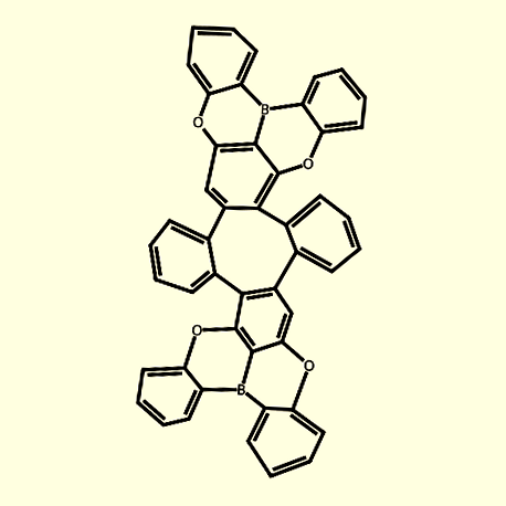 c1ccc2c(c1)Oc1cc3c(c4c1B2c1ccccc1O4)-c1ccccc1-c1cc2c4c(c1-c1ccccc1-3)Oc1ccccc1B4c1ccccc1O2